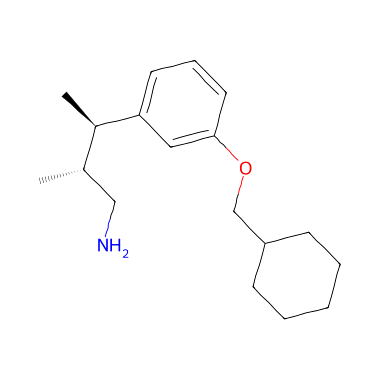 C[C@@H](CN)[C@@H](C)c1cccc(OCC2CCCCC2)c1